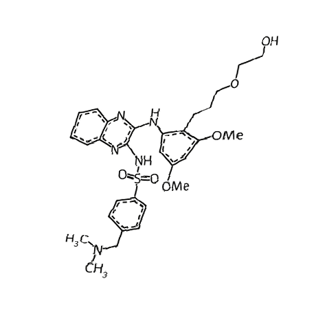 COc1cc(Nc2nc3ccccc3nc2NS(=O)(=O)c2ccc(CN(C)C)cc2)c(CCCOCCO)c(OC)c1